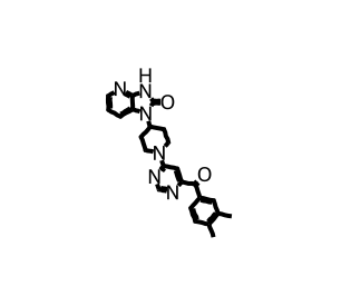 Cc1ccc(C(=O)c2cc(N3CCC(n4c(=O)[nH]c5ncccc54)CC3)ncn2)cc1C